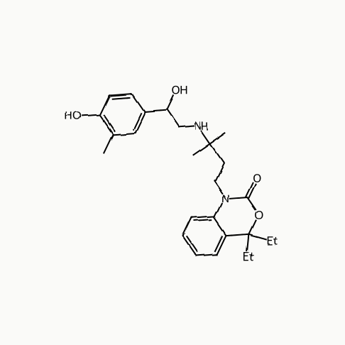 CCC1(CC)OC(=O)N(CCC(C)(C)NCC(O)c2ccc(O)c(C)c2)c2ccccc21